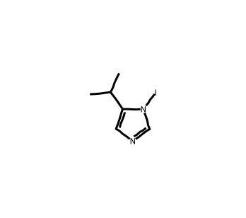 CC(C)c1cncn1I